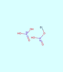 CCO[PH](=O)O.O=[PH](O)O